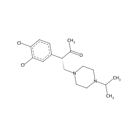 CC(=O)[C@H](CN1CCN(C(C)C)CC1)c1ccc(Cl)c(Cl)c1